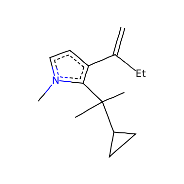 C=C(CC)c1ccn(C)c1C(C)(C)C1CC1